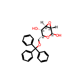 O[C@@H]1[C@H]2O[C@@H]2[C@@H](O)O[C@@H]1COC(c1ccccc1)(c1ccccc1)c1ccccc1